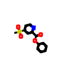 CS(=O)(=O)c1ccnc(C(=O)Oc2ccccc2)c1